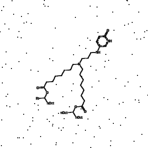 CCCCCCCCC(CC)OC(=O)CCCCCCCN(CCCCCCCC(=O)OC(CCCCCCCC)CCCCCCCC)CCCNc1ccc(=O)[nH]c1